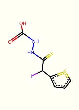 O=C(O)NNC(=S)C(I)c1cccs1